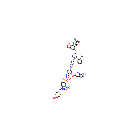 [2H]C([2H])([2H])Oc1cc(CN2CCN(C3CC4(C3)CN(c3ccc(C(=O)NS(=O)(=O)c5ccc(NCC6CCC(C)(O)CC6)c([N+](=O)[O-])c5)c(Oc5cnc6[nH]ccc6c5)c3)C4)[C@H](c3ccccc3C(C)C)C2)cc2ccoc12